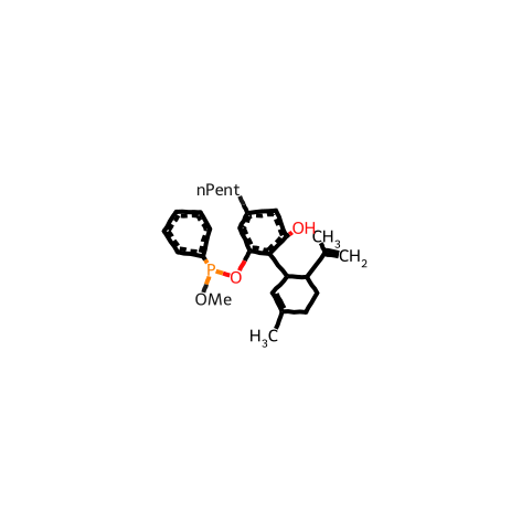 C=C(C)C1CCC(C)=CC1c1c(O)cc(CCCCC)cc1OP(OC)c1ccccc1